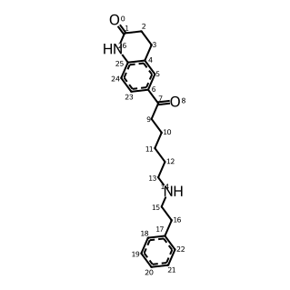 O=C1CCc2cc(C(=O)CCCCCNCCc3ccccc3)ccc2N1